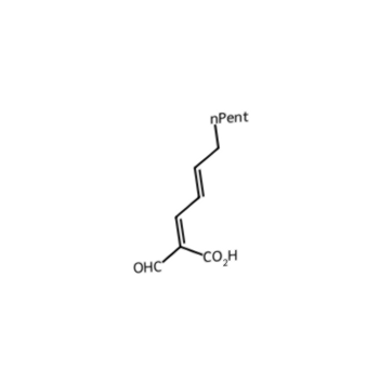 CCCCCCC=CC=C(C=O)C(=O)O